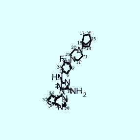 Nc1nc(Nc2ccc(N3CCN(C4CC5CCC4C5)CC3)c(F)c2)nn1-c1ncnc2sccc12